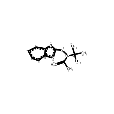 C=C(C)N(Sc1nc2ccccc2s1)C(C)(C)C